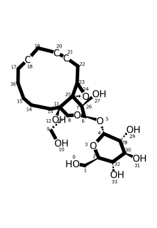 OC[C@H]1O[C@H](O[C@H]2O[C@H](CO)[C@]3(O)CCCCCCCCCCC4O[C@@]43[C@H]2O)[C@H](O)[C@@H](O)[C@@H]1O